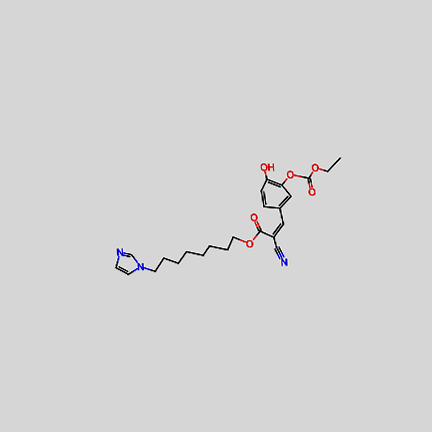 CCOC(=O)Oc1cc(C=C(C#N)C(=O)OCCCCCCCCn2ccnc2)ccc1O